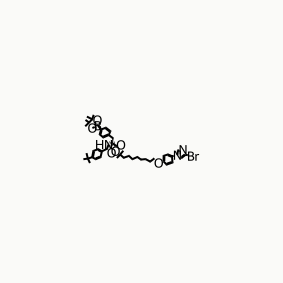 CC(C)(CCCCCCCCOc1ccc(-n2cnc(Br)c2)cc1)OC(=O)[C@H](Cc1ccc(B2OC(C)(C)C(C)(C)O2)cc1)NC(=O)c1ccc(C(C)(C)C)cc1